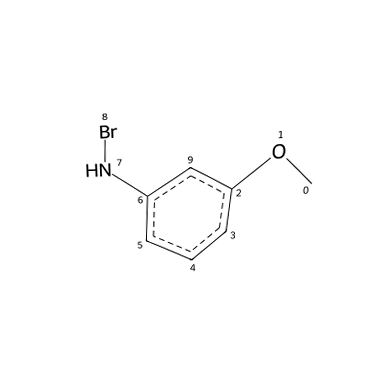 COc1cccc(NBr)c1